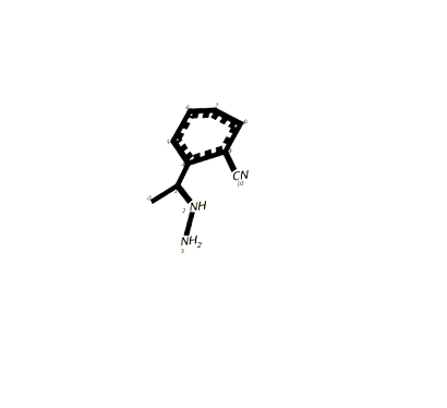 CC(NN)c1ccccc1C#N